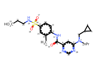 CCCN(CC1CC1)c1cc(C(=O)Nc2ccc(S(=O)(=O)NCCC(=O)O)cc2C)ncn1